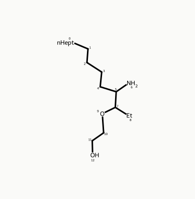 CCCCCCCCCCCC(N)C(CC)OCCO